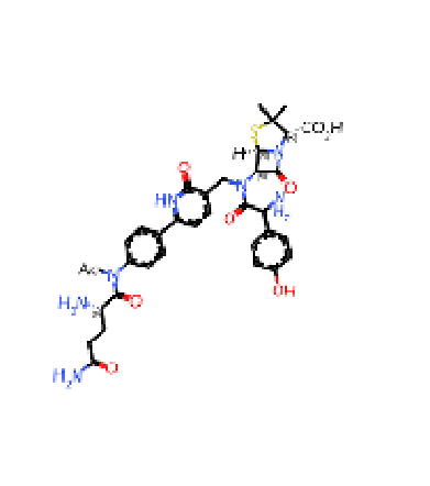 CC(=O)N(C(=O)[C@@H](N)CCC(N)=O)c1ccc(-c2ccc(CN(C(=O)C(N)c3ccc(O)cc3)[C@@H]3C(=O)N4[C@@H]3SC(C)(C)[C@@H]4C(=O)O)c(=O)[nH]2)cc1